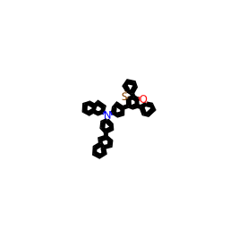 C1=CC(N(c2ccc(-c3ccc4ccccc4c3)cc2)c2ccc(-c3cc4c5ccccc5oc4c4c3sc3ccccc34)cc2)Cc2ccccc21